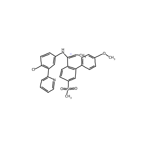 C/C=C(/Nc1ccc(Cl)c(-c2ccccn2)c1)c1ccc(S(C)(=O)=O)cc1-c1ccc(OC)cc1